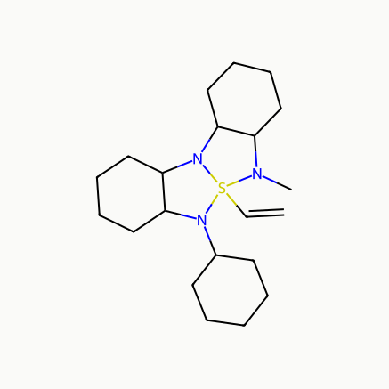 C=CS12N(C)C3CCCCC3N1C1CCCCC1N2C1CCCCC1